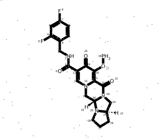 O=C(NCc1ccc(F)cc1F)c1cn2c(c(OP)c1=O)C(=O)N1C[C@H]3CCCN3[C@@H]1C2